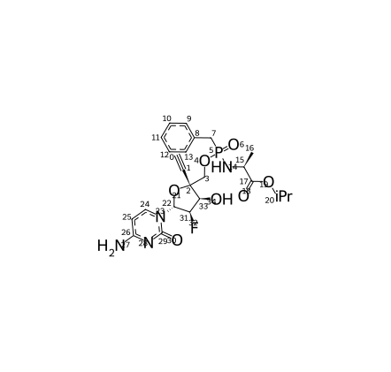 C#C[C@]1(COP(=O)(Cc2ccccc2)N[C@@H](C)C(=O)OC(C)C)O[C@@H](n2ccc(N)nc2=O)[C@H](F)[C@@H]1O